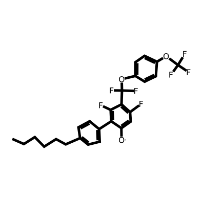 CCCCCCc1ccc(-c2c([O])cc(F)c(C(F)(F)Oc3ccc(OC(F)(F)F)cc3)c2F)cc1